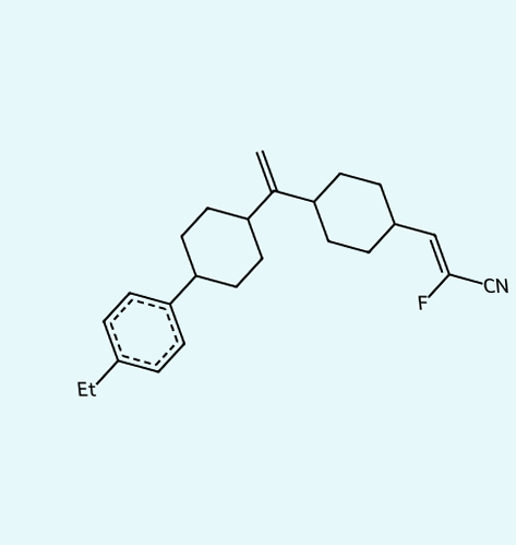 C=C(C1CCC(C=C(F)C#N)CC1)C1CCC(c2ccc(CC)cc2)CC1